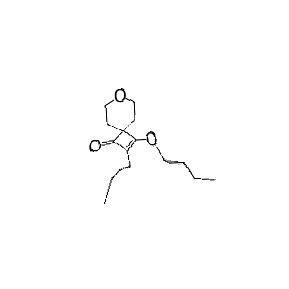 CCCCOC1=C(CCC)C(=O)C12CCOCC2